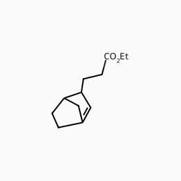 CCOC(=O)CCC1C=C2CCC1C2